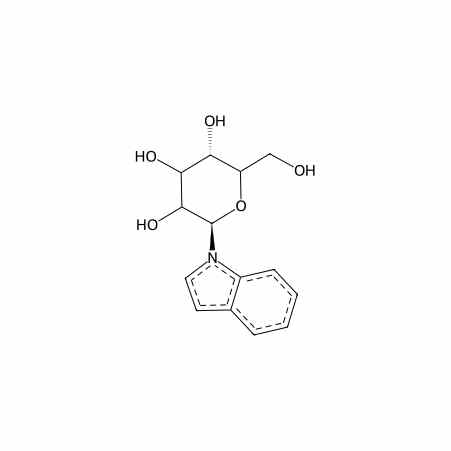 OCC1O[C@@H](n2ccc3ccccc32)C(O)C(O)[C@@H]1O